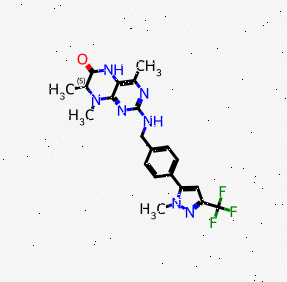 Cc1nc(NCc2ccc(-c3cc(C(F)(F)F)nn3C)cc2)nc2c1NC(=O)[C@H](C)N2C